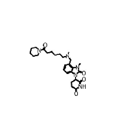 CN(CCCCCC(=O)N1CCCCC1)Cc1cccc2c1n(C)c(=O)n2C1CCC(=O)NC1=O